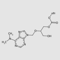 CCCOC(=O)OCC(CO)OCn1cnc2c(N(C)C)ncnc21